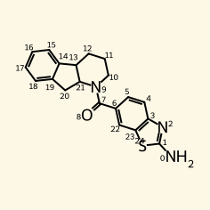 Nc1nc2ccc(C(=O)N3CCCC4c5ccccc5CC43)cc2s1